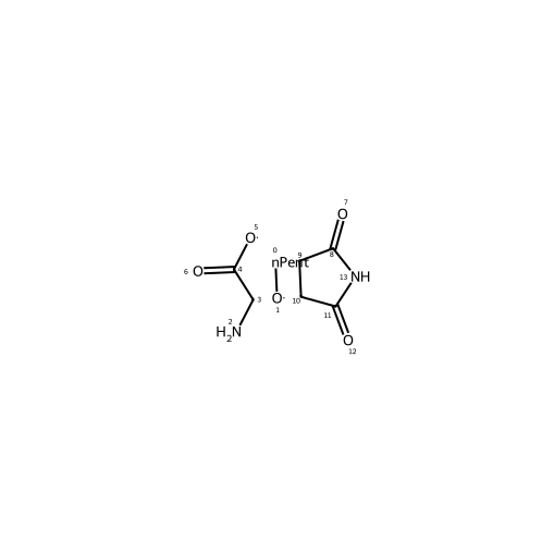 CCCCC[O].NCC([O])=O.O=C1CCC(=O)N1